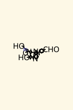 O=Cc1ccc(-n2nc(C3CN(C(=O)/C=C/CO)C3)c3c(N4CC(O)C4)nccc32)cc1